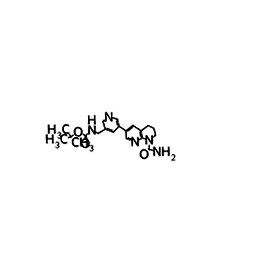 CC(C)(C)OC(=O)NCc1cncc(-c2cnc3c(c2)CCCN3C(N)=O)c1